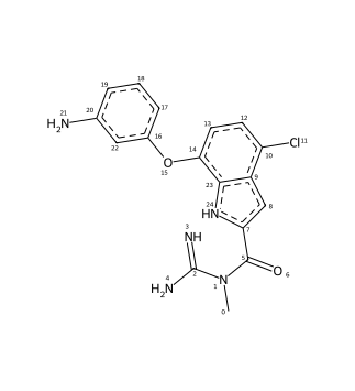 CN(C(=N)N)C(=O)c1cc2c(Cl)ccc(Oc3cccc(N)c3)c2[nH]1